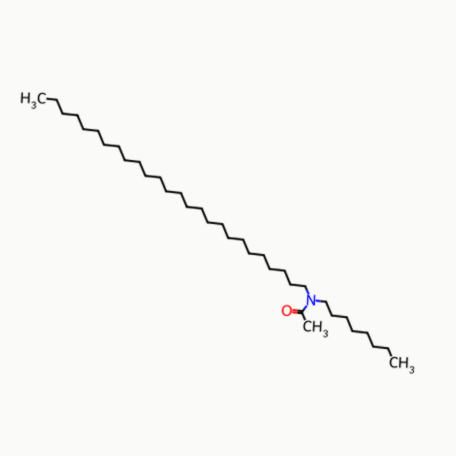 CCCCCCCCCCCCCCCCCCCCCCCCCCN(CCCCCCCC)C(C)=O